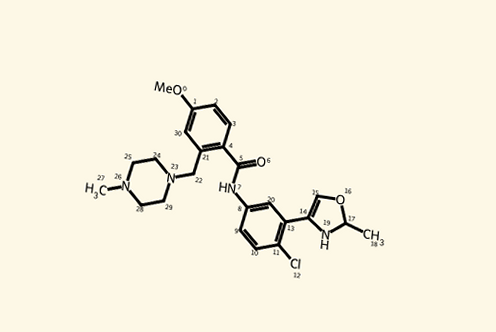 COc1ccc(C(=O)Nc2ccc(Cl)c(C3=COC(C)N3)c2)c(CN2CCN(C)CC2)c1